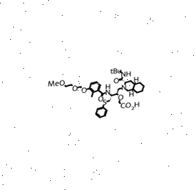 COCCOCOc1cccc(C(=O)N[C@@H](CSc2ccccc2)[C@@H](CN2C[C@H]3CCCC[C@H]3C[C@H]2C(=O)NC(C)(C)C)OCC(=O)O)c1C